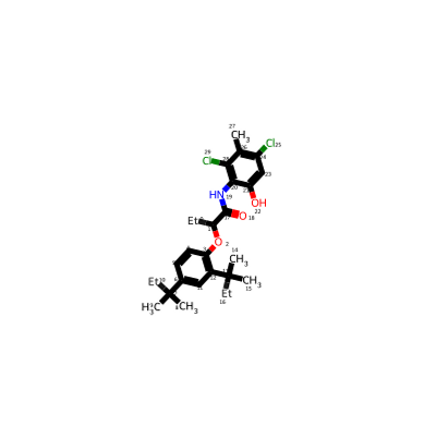 CCC(Oc1ccc(C(C)(C)CC)cc1C(C)(C)CC)C(=O)Nc1c(O)cc(Cl)c(C)c1Cl